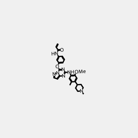 C=CC(=O)Nc1cccc(Oc2nc(Nc3cc(C)c(C4CCN(C)CC4)cc3OC)nc3ccnn23)c1